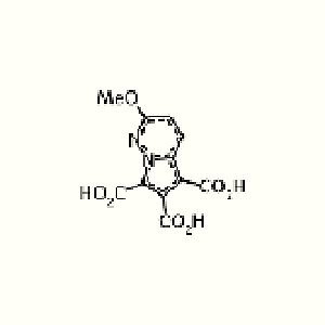 COc1ccc2c(C(=O)O)c(C(=O)O)c(C(=O)O)n2n1